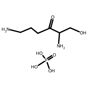 NCCCC(=O)C(N)CO.O=P(O)(O)O